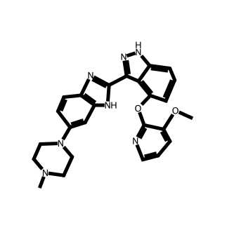 COc1cccnc1Oc1cccc2[nH]nc(-c3nc4ccc(N5CCN(C)CC5)cc4[nH]3)c12